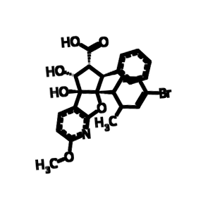 COc1ccc2c(n1)O[C@@]1(C3C=CC(Br)=CC3C)[C@H](c3ccccc3)[C@@H](C(=O)O)[C@@H](O)[C@@]21O